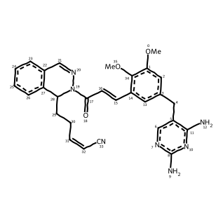 COc1cc(Cc2cnc(N)nc2N)cc(/C=C/C(=O)N2N=Cc3ccccc3C2CC/C=C\C#N)c1OC